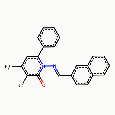 N#Cc1c(C(F)(F)F)cc(-c2ccccc2)n(N=Cc2ccc3ccccc3c2)c1=O